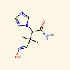 CNC(=O)C(n1cncn1)C(C)(C)C=NO